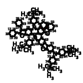 CC(C)(C)c1ccc(N2B3c4cc5oc(-c6ccccc6)c(-c6ccccc6)c5cc4N(c4ccc(C(C)(C)C)cc4-c4ccccc4)c4cc5c(oc6ccccc65)c(c43)-c3cc4c(cc32)oc2cc(N(c3ccc(C(C)(C)C)cc3)c3ccc(C(C)(C)C)cc3)ccc24)cc1